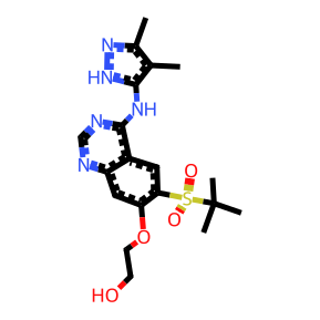 Cc1n[nH]c(Nc2ncnc3cc(OCCO)c(S(=O)(=O)C(C)(C)C)cc23)c1C